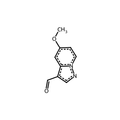 COc1ccn2ncc(C=O)c2c1